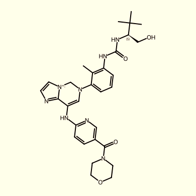 Cc1c(NC(=O)N[C@H](CO)C(C)(C)C)cccc1N1C=C(Nc2ccc(C(=O)N3CCOCC3)cn2)C2=NC=C[N+]2C1